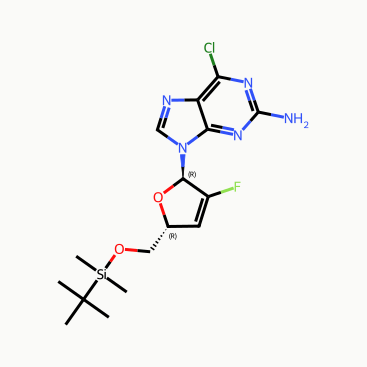 CC(C)(C)[Si](C)(C)OC[C@H]1C=C(F)[C@H](n2cnc3c(Cl)nc(N)nc32)O1